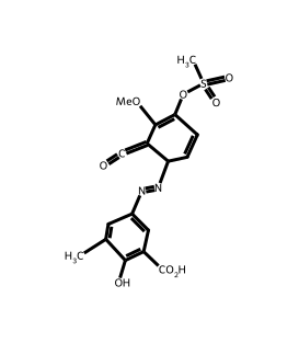 COC1=C(OS(C)(=O)=O)C=CC(N=Nc2cc(C)c(O)c(C(=O)O)c2)C1=C=O